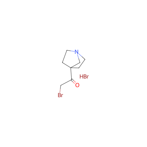 Br.O=C(CBr)C12CCN(CC1)C2